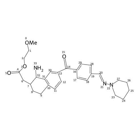 COCCOC(=O)CC1CCc2ccc(C(=O)c3ccc(C=NN4CCCCC4)cc3)cc2C1N